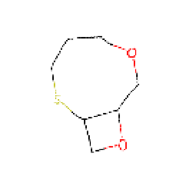 C1COCC2OCC2SC1